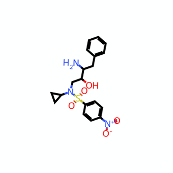 NC(Cc1ccccc1)C(O)CN(C1CC1)S(=O)(=O)c1ccc([N+](=O)[O-])cc1